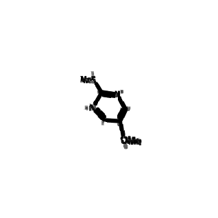 COc1cnc(SC)nc1